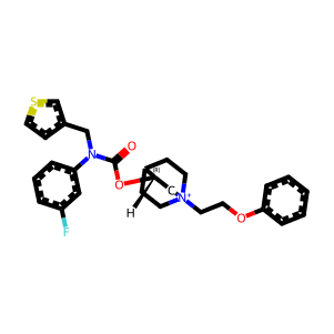 O=C(O[C@H]1C[N+]2(CCOc3ccccc3)CCC1CC2)N(Cc1ccsc1)c1cccc(F)c1